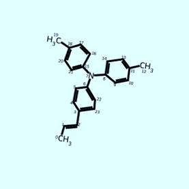 CC=Cc1ccc(N(c2ccc(C)cc2)c2ccc(C)cc2)cc1